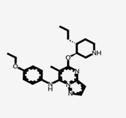 CCC[C@@H]1CCNC[C@H]1Oc1nc2ccnn2c(Nc2ccc(OCC)cc2)c1C